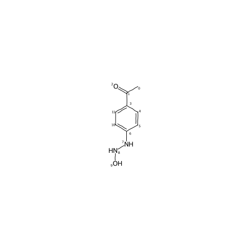 CC(=O)c1ccc(NNO)cc1